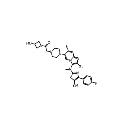 CCc1nc2cc(F)c(N3CCN(CC(=O)N4CC(O)C4)CC3)cn2c1N(C)c1nc(-c2ccc(F)cc2)c(C#N)s1